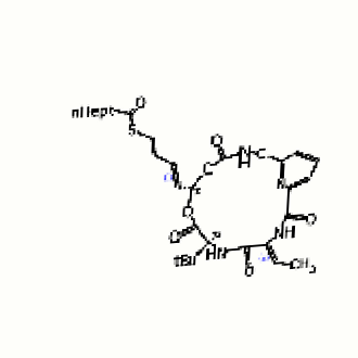 C/C=C1\NC(=O)c2cccc(n2)CNC(=O)C[C@@H](/C=C/CCSC(=O)CCCCCCC)OC(=O)[C@H](C(C)(C)C)NC1=O